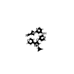 N#CC1CN(c2cc(Nc3cc(Oc4cn(C5CC5)nc4C4CCOCC4)ccn3)ccn2)C1